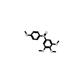 COc1ccc([Se](=O)c2cc(OC)c(OC)c(OC)c2)cc1